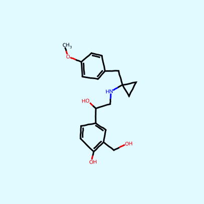 COc1ccc(CC2(NCC(O)c3ccc(O)c(CO)c3)CC2)cc1